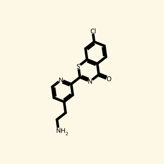 NCCc1ccnc(-c2nc(=O)c3ccc(Cl)cc3s2)c1